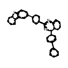 c1ccc(-c2ccc(-c3nc(-c4ccc(-c5ccc6sc7ccccc7c6c5)cc4)nc4ccccc34)cc2)cc1